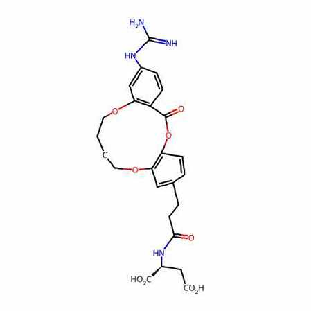 N=C(N)Nc1ccc2c(c1)OCCCCOc1cc(CCC(=O)N[C@@H](CC(=O)O)C(=O)O)ccc1OC2=O